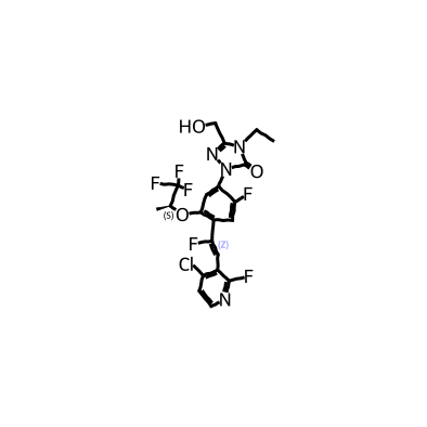 CCn1c(CO)nn(-c2cc(O[C@@H](C)C(F)(F)F)c(/C(F)=C/c3c(Cl)ccnc3F)cc2F)c1=O